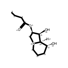 CCCC(=O)O[C@@H]1CN2CCC[C@@H](O)[C@@H]2[C@@H]1O